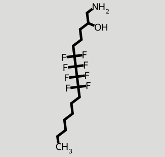 CCCCCCCC(F)(F)C(F)(F)C(F)(F)C(F)(F)CCCC(O)CN